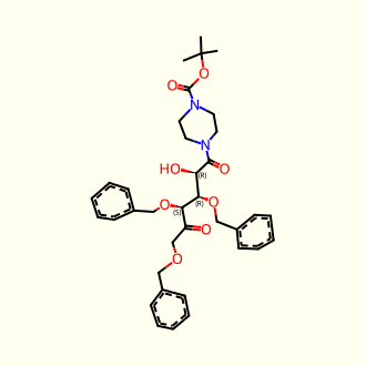 CC(C)(C)OC(=O)N1CCN(C(=O)[C@H](O)[C@@H](OCc2ccccc2)[C@H](OCc2ccccc2)C(=O)COCc2ccccc2)CC1